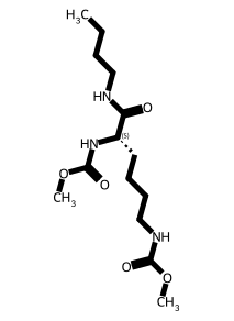 CCCCNC(=O)[C@H](CCCCNC(=O)OC)NC(=O)OC